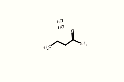 Cl.Cl.[CH2]CCC(N)=O